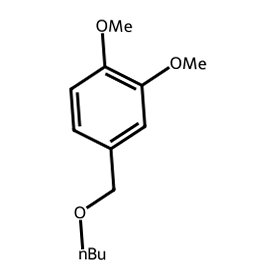 [CH2]CCCOCc1ccc(OC)c(OC)c1